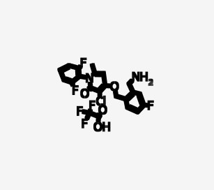 Cc1cc(OCc2ccc(F)cc2CN)c(Cl)c(=O)n1-c1c(F)cccc1F.O=C(O)C(F)(F)F